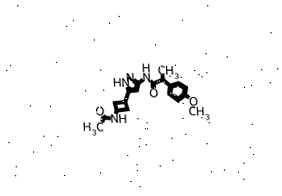 COc1ccc(C(C)C(=O)Nc2cc(C3CC(NC(C)=O)C3)[nH]n2)cc1